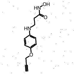 C#CCOc1ccc(NCCC(=O)NO)cc1